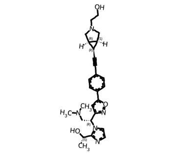 C[C@H](O)c1nccn1[C@H](CN(C)C)c1cc(-c2ccc(C#C[C@H]3[C@H]4CN(CCO)C[C@@H]34)cc2)on1